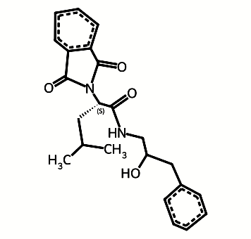 CC(C)C[C@@H](C(=O)NCC(O)Cc1ccccc1)N1C(=O)c2ccccc2C1=O